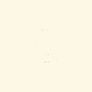 Cc1c(SSc2ccc(F)c([N+](=O)[O-])c2C)ccc(F)c1[N+](=O)[O-]